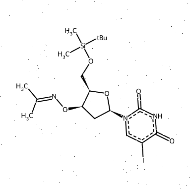 CC(C)=NO[C@@H]1C[C@H](n2cc(I)c(=O)[nH]c2=O)O[C@@H]1CO[Si](C)(C)C(C)(C)C